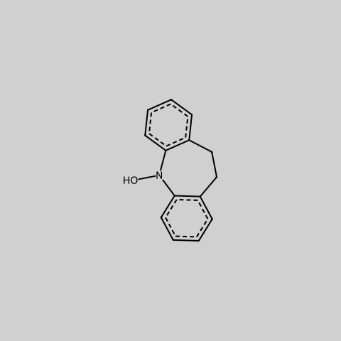 ON1c2ccccc2CCc2ccccc21